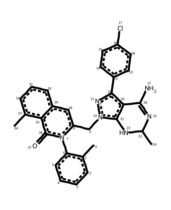 Cc1ccccc1-n1c(Cn2nc(-c3ccc(Cl)cc3)c3c2NC(C)N=C3N)cc2cccc(C)c2c1=O